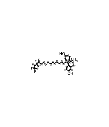 CC1(c2ccc(O)cc2)CCc2cc(O)ccc2C1CCCCCCCCCSCCC(F)C(F)(F)C(F)C(F)(F)F